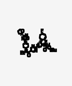 CCN(C(=O)c1cnc(N2C[C@H]([C@H]3CCC(F)=CC=C3F)[C@@H](NC(=O)OC(C)(C)C)C2)nc1)C1CCN(c2nc([C@@H]3CCCO3)no2)CC1